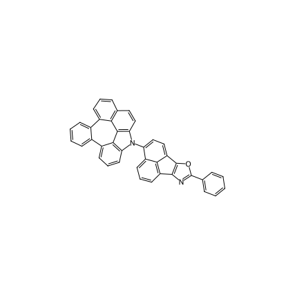 c1ccc(-c2nc3c(o2)-c2ccc(-n4c5cccc6c5c5c7c(cccc7ccc54)-c4ccccc4-6)c4cccc-3c24)cc1